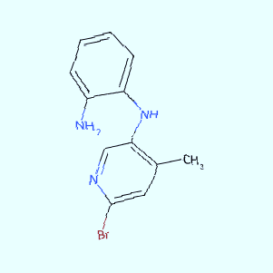 Cc1cc(Br)ncc1Nc1ccccc1N